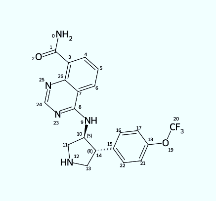 NC(=O)c1cccc2c(N[C@@H]3CNC[C@H]3c3ccc(OC(F)(F)F)cc3)ncnc12